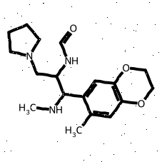 CNC(c1cc2c(cc1C)OCCO2)C(CN1CCCC1)NC=O